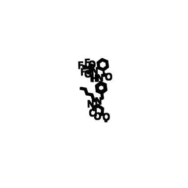 CCCCc1nc(Cl)c(CC(=O)OC)n1Cc1ccc(NC(=O)[C@@H]2CCCC[C@H]2NS(=O)(=O)C(F)(F)F)cc1